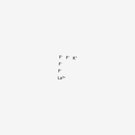 [F-].[F-].[F-].[F-].[K+].[La+3]